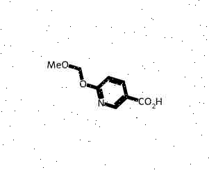 COCOc1ccc(C(=O)O)cn1